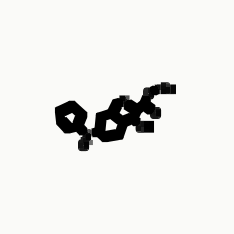 CCCCOC(=O)c1ncc2cc([S+]([O-])c3ccccc3)ccc2c1O